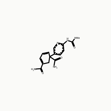 CNC(=O)Nc1ccc(C2(C(N)=O)C=CC=C(C(N)=O)C2)cn1